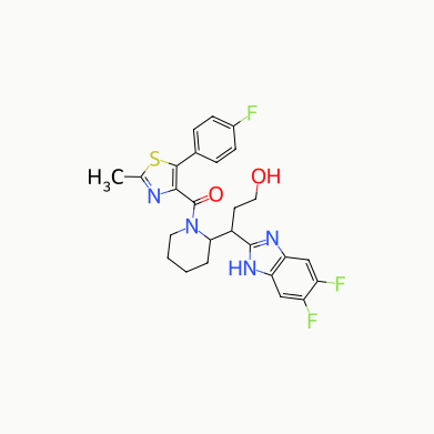 Cc1nc(C(=O)N2CCCCC2C(CCO)c2nc3cc(F)c(F)cc3[nH]2)c(-c2ccc(F)cc2)s1